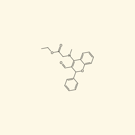 CCOC(=O)CN(C)C1=C(C=O)C(c2ccccc2)Oc2ccccc21